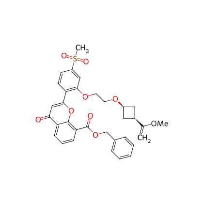 C=C(OC)[C@H]1C[C@@H](OCCOc2cc(S(C)(=O)=O)ccc2-c2cc(=O)c3cccc(C(=O)OCc4ccccc4)c3o2)C1